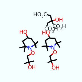 CC(C)(O)CON1C(C)(C)CC(O)CC1(C)C.CC(C)(O)CON1C(C)(C)CC(O)CC1(C)C.O=C(O)CC(O)(CC(=O)O)C(=O)O